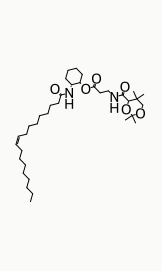 CCCCCCCC/C=C\CCCCCCCC(=O)N[C@@H]1CCCC[C@H]1OC(=O)CCNC(=O)C1OC(C)(C)OCC1(C)C